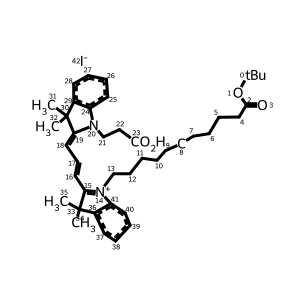 CC(C)(C)OC(=O)CCCCCCCCCC[N+]1=C(C=CC=C2N(CCC(=O)O)c3ccccc3C2(C)C)C(C)(C)c2ccccc21.[I-]